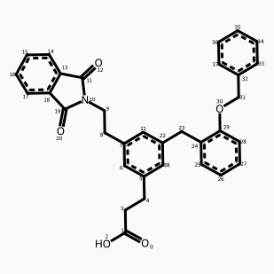 O=C(O)CCc1cc(CCN2C(=O)c3ccccc3C2=O)cc(Cc2ccccc2OCc2ccccc2)c1